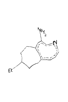 CCC1CCc2c(ccnc2N)C1